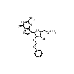 COCC1OC(n2cnc3c(=O)[nH]c(N)nc32)C(OCOc2ccccc2)C1O